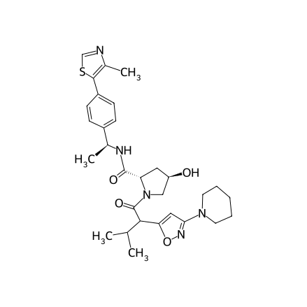 Cc1ncsc1-c1ccc([C@H](C)NC(=O)[C@@H]2C[C@@H](O)CN2C(=O)C(c2cc(N3CCCCC3)no2)C(C)C)cc1